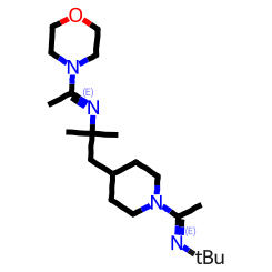 C/C(=N\C(C)(C)C)N1CCC(CC(C)(C)/N=C(\C)N2CCOCC2)CC1